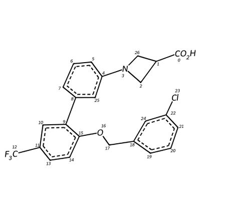 O=C(O)C1CN(c2cccc(-c3cc(C(F)(F)F)ccc3OCc3cccc(Cl)c3)c2)C1